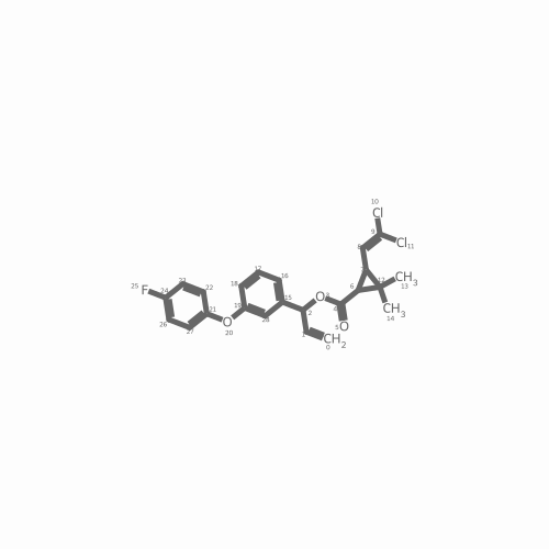 C=CC(OC(=O)C1C(C=C(Cl)Cl)C1(C)C)c1cccc(Oc2ccc(F)cc2)c1